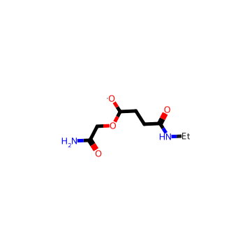 CCNC(=O)CCC([O])OCC(N)=O